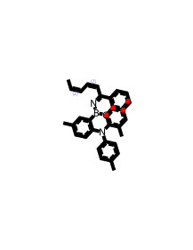 C/C=C\C=C/C1=NB(c2cc(C)ccc2N(c2ccc(C)cc2)c2ccc(C)cc2C)Oc2ccccc21